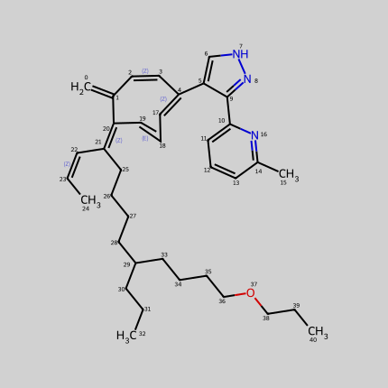 C=C1\C=C/C(c2c[nH]nc2-c2cccc(C)n2)=C/C=C/C1=C(/C=C\C)CCCCC(CCC)CCCCOCCC